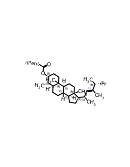 CCCCCC(=O)O[C@H]1CC[C@@]2(C)[C@@H](CC[C@@H]3[C@@H]2CC[C@]2(C)[C@@H]([C@H](C)/C=C(\C)[C@H](C)C(C)C)CC[C@@H]32)[C@@H]1C